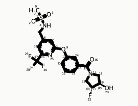 CS(=O)(=O)NCc1cc(Oc2cccc(C(=O)N3C[C@@H](O)[C@H](F)C3)c2)nc(C(F)(F)F)c1